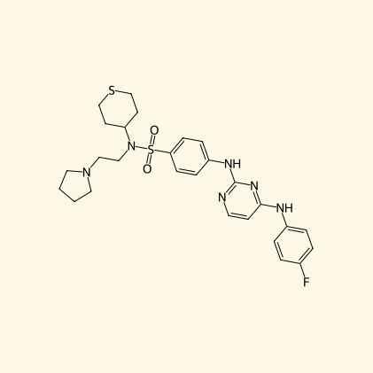 O=S(=O)(c1ccc(Nc2nccc(Nc3ccc(F)cc3)n2)cc1)N(CCN1CCCC1)C1CCSCC1